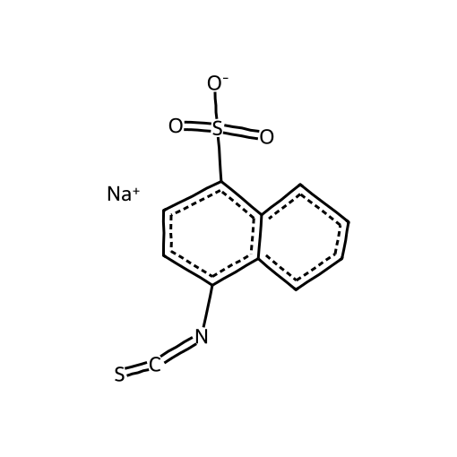 O=S(=O)([O-])c1ccc(N=C=S)c2ccccc12.[Na+]